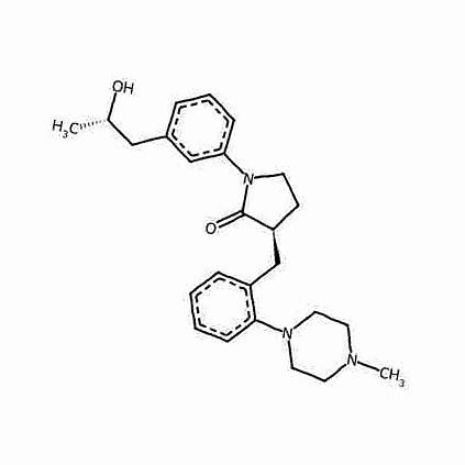 C[C@H](O)Cc1cccc(N2CC[C@@H](Cc3ccccc3N3CCN(C)CC3)C2=O)c1